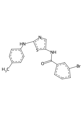 Cc1ccc(Nc2ncc(NC(=O)c3cccc(Br)c3)s2)cc1